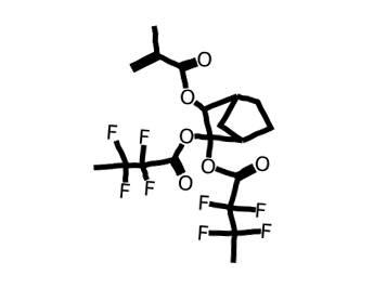 C=C(C)C(=O)OC1C2CCC(C2)C1(OC(=O)C(F)(F)C(C)(F)F)OC(=O)C(F)(F)C(C)(F)F